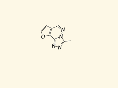 Cc1nnc2c3occc3cnn12